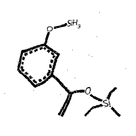 C=C(O[Si](C)(C)C)c1cccc(O[SiH3])c1